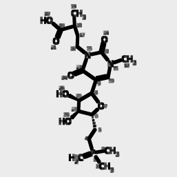 C=P(C)(C)CC[C@H]1OC(c2cn(C)c(=O)n(CCC(C)C(=O)O)c2=O)[C@H](O)[C@@H]1O